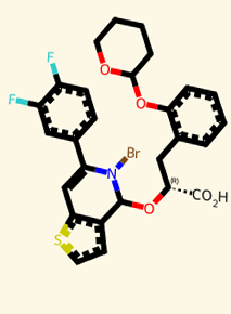 O=C(O)[C@@H](Cc1ccccc1OC1CCCCO1)OC1c2ccsc2C=C(c2ccc(F)c(F)c2)N1Br